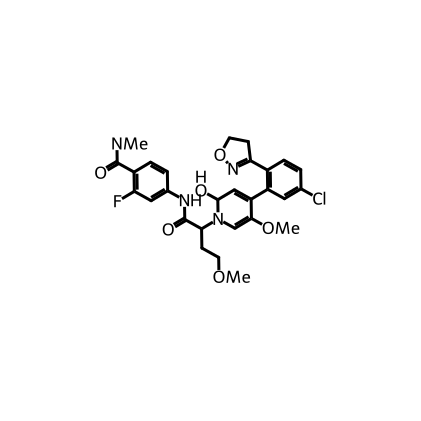 CNC(=O)c1ccc(NC(=O)C(CCOC)N2C=C(OC)C(c3cc(Cl)ccc3C3=NOCC3)=CC2O)cc1F